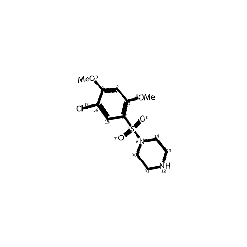 COc1cc(OC)c(S(=O)(=O)N2CCNCC2)cc1Cl